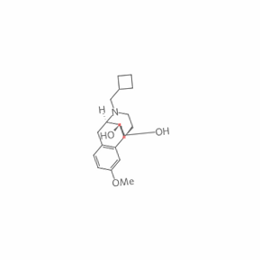 COc1ccc2c(c1)[C@]13CCN(CC4CCC4)[C@H](C2)[C@]1(O)CCC(O)C3